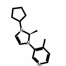 Cc1ccncc1N1C=CN(C2CCCC2)[C@H]1C